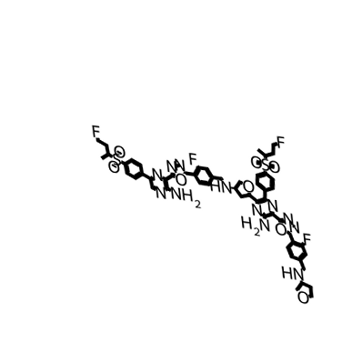 CC(CCF)S(=O)(=O)c1ccc(-c2cnc(N)c(-c3nnc(-c4ccc(CN[C@H]5COC(c6nc(N)c(-c7nnc(-c8ccc(CN[C@H]9CCOC9)cc8F)o7)nc6-c6ccc(S(=O)(=O)C(C)CCF)cc6)C5)cc4F)o3)n2)cc1